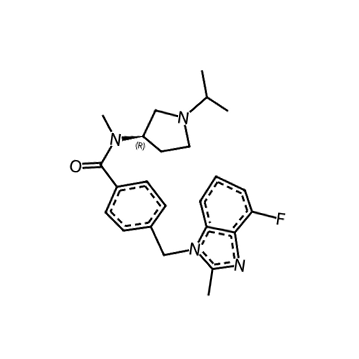 Cc1nc2c(F)cccc2n1Cc1ccc(C(=O)N(C)[C@@H]2CCN(C(C)C)C2)cc1